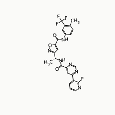 Cc1ccc(NC(=O)c2cc([C@@H](C)NC(=O)c3cc(-c4cccnc4F)ncn3)no2)cc1C(F)(F)F